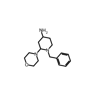 NC1CCN(Cc2ccccc2)[C](N2CCOCC2)C1